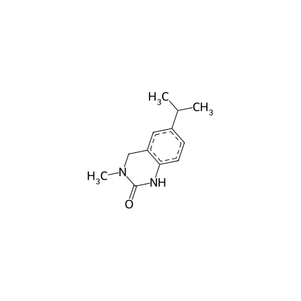 CC(C)c1ccc2c(c1)CN(C)C(=O)N2